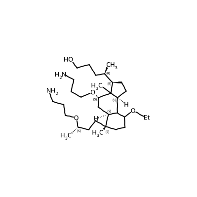 CCOC1CC[C@](C)(CC[C@H](C)OCCCN)[C@H]2C[C@H](OCCCN)C3(C)[C@@H]([C@H](C)CCCO)CC[C@H]3C12